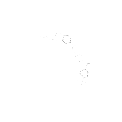 CCOCCN1CCc2ccc(NCC3C4CN(C(=O)c5ccc(C(C)(C)C)cc5)CC34)cc2C1